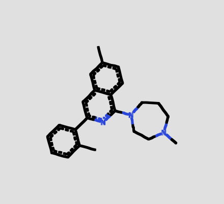 Cc1ccc2c(N3CCCN(C)CC3)nc(-c3ccccc3C)cc2c1